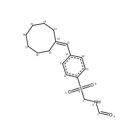 O=CNCS(=O)(=O)c1ccc(C=C2CCCCCCC2)cc1